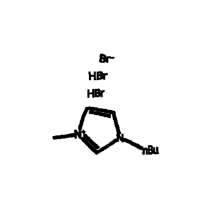 Br.Br.CCCCn1cc[n+](C)c1.[Br-]